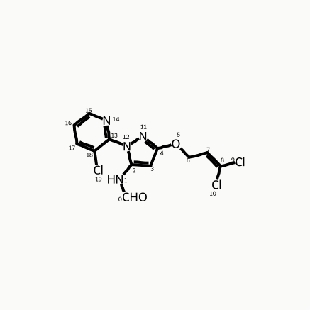 O=CNc1cc(OCC=C(Cl)Cl)nn1-c1ncccc1Cl